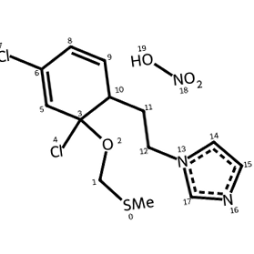 CSCOC1(Cl)C=C(Cl)C=CC1CCn1ccnc1.O=[N+]([O-])O